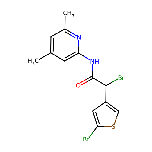 Cc1cc(C)nc(NC(=O)C(Br)c2csc(Br)c2)c1